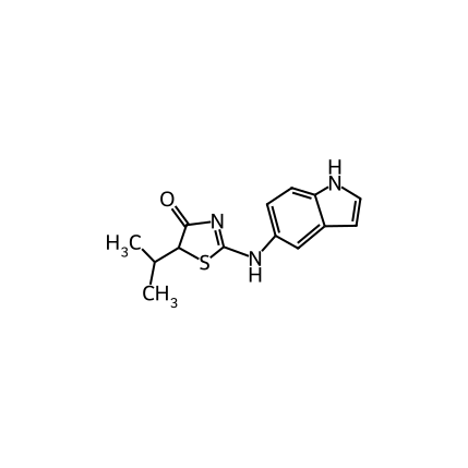 CC(C)C1SC(Nc2ccc3[nH]ccc3c2)=NC1=O